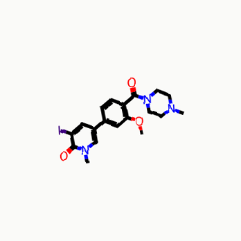 COc1cc(-c2cc(I)c(=O)n(C)c2)ccc1C(=O)N1CCN(C)CC1